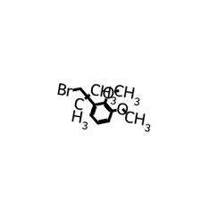 COc1cccc(C(C)(C)CBr)c1OC